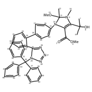 COC(=O)C1=C(C(C)(C)O)N(C)C(C)(OC)N1c1ccc(-c2ccccc2-c2nnnn2C(c2ccccc2)(c2ccccc2)c2ccccc2)cc1